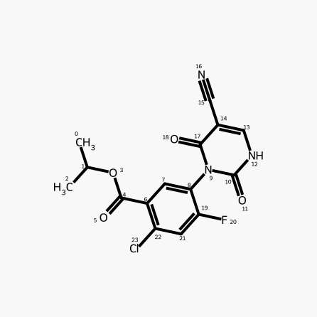 CC(C)OC(=O)c1cc(-n2c(=O)[nH]cc(C#N)c2=O)c(F)cc1Cl